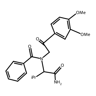 COc1ccc(C(=O)CN(C(=O)c2ccccc2)C(C(N)=O)C(C)C)cc1OC